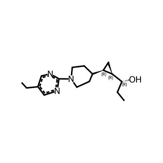 CCc1cnc(N2CCC([C@H]3C[C@H]3[C@H](O)CC)CC2)nc1